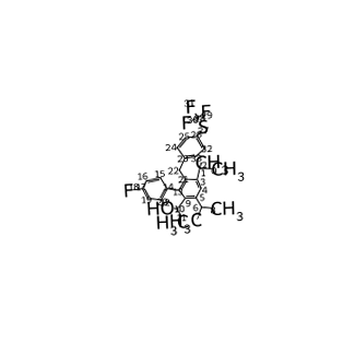 CC(C)c1cc(C(C)C)c(C(C)O)c(-c2ccc(F)cc2)c1Cc1ccc(SC(F)(F)F)cc1